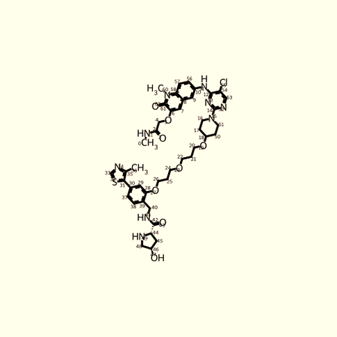 CNC(=O)COc1cc2cc(Nc3nc(N4CCC(OCCCOCCCOc5cc(-c6scnc6C)ccc5CNC(=O)[C@@H]5C[C@@H](O)CN5)CC4)ncc3Cl)ccc2n(C)c1=O